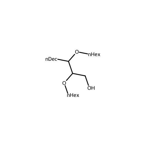 CCCCCCCCCCC(OCCCCCC)C(CO)OCCCCCC